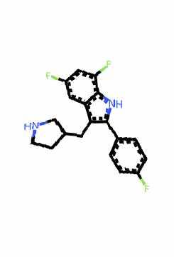 Fc1ccc(-c2[nH]c3c(F)cc(F)cc3c2CC2CCNC2)cc1